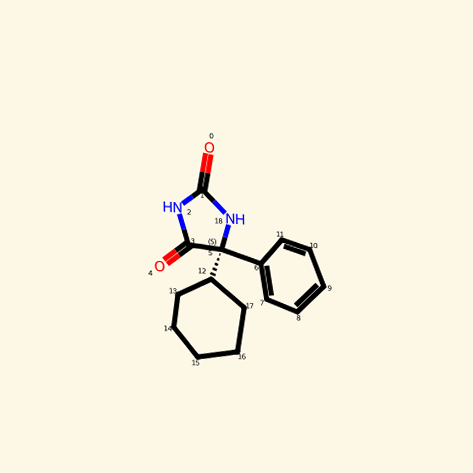 O=C1NC(=O)[C@@](c2ccccc2)(C2CCCCC2)N1